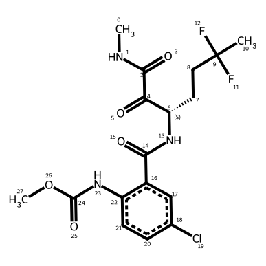 CNC(=O)C(=O)[C@H](CCC(C)(F)F)NC(=O)c1cc(Cl)ccc1NC(=O)OC